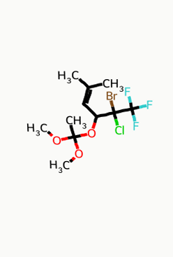 COC(C)(OC)OC(C=C(C)C)C(Cl)(Br)C(F)(F)F